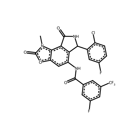 Cn1c(=O)oc2cc(NC(=O)c3cc(F)cc(C(F)(F)F)c3)c3c(c21)C(=O)NC3c1cc(F)ccc1Cl